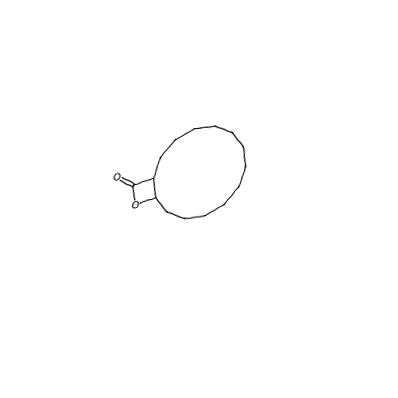 O=C1OC2CCCCCCCCCCCCC12